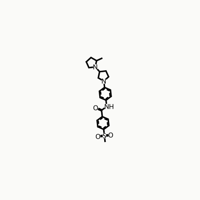 CC1CCCN1C1CCN(c2ccc(NC(=O)c3ccc(S(C)(=O)=O)cc3)cc2)C1